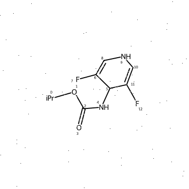 CC(C)OC(=O)N[C]1C(F)=CNC=C1F